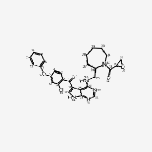 O=C(c1ccc(Oc2ccccc2)cc1Cl)c1c[nH]c2ncnc(NCC3CCCCCN3C(=O)C3CO3)c12